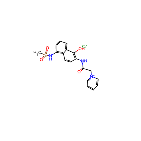 CS(=O)(=O)Nc1cccc2c(O)c(NC(=O)C[n+]3ccccc3)ccc12.[Cl-]